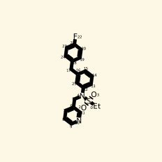 CCS(=O)(=O)N(Cc1cccnc1)c1cccc(Cc2ccc(F)cc2)c1